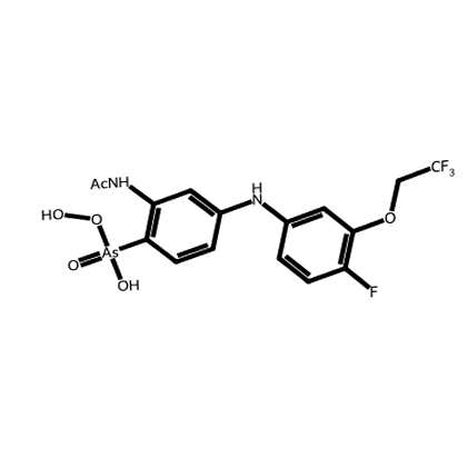 CC(=O)Nc1cc(Nc2ccc(F)c(OCC(F)(F)F)c2)ccc1[As](=O)(O)OO